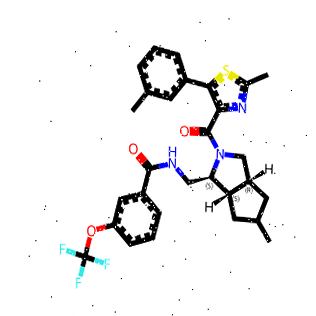 Cc1cccc(-c2sc(C)nc2C(=O)N2C[C@@H]3CC(C)C[C@@H]3[C@H]2CNC(=O)c2cccc(OC(F)(F)F)c2)c1